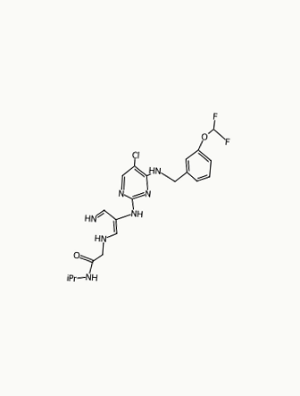 CC(C)NC(=O)CN/C=C(\C=N)Nc1ncc(Cl)c(NCc2cccc(OC(F)F)c2)n1